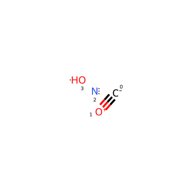 [C-]#[O+].[N].[OH]